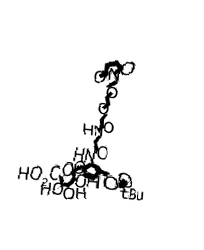 CC(C)(C)C(=O)OCc1ccc(OC2O[C@H](C(=O)O)[C@@H](O)[C@H](O)[C@H]2O)c(NC(=O)CCNC(=O)CCOCCOCCN2C(=O)C=CC2=O)c1